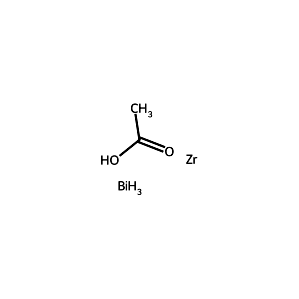 CC(=O)O.[BiH3].[Zr]